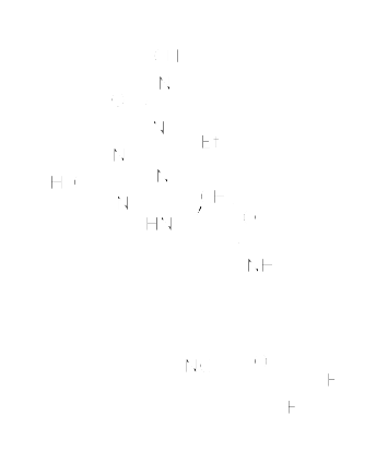 CC[C@H]1CN(C)C(=O)N1c1nc(C)nc(N[C@@H](C)c2cc3cc(C#N)c(OCC(F)F)cc3[nH]c2=O)n1